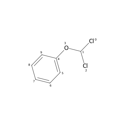 ClC(Cl)Oc1ccccc1